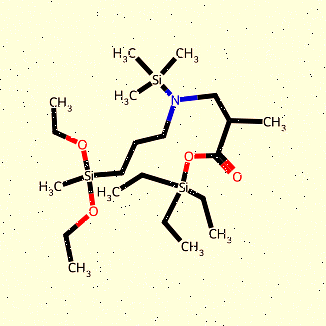 CCO[Si](C)(CCCN(CC(C)C(=O)O[Si](CC)(CC)CC)[Si](C)(C)C)OCC